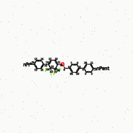 CCCCCc1ccc(-c2ccc(COC3=CC=C(c4ccc(CCC)cc4)C(F)(F)C3(F)F)cc2)cc1